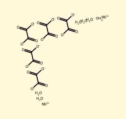 O.O.O.O.O.O.O=C([O-])C(=O)[O-].O=C([O-])C(=O)[O-].O=C([O-])C(=O)[O-].O=C([O-])C(=O)[O-].O=C([O-])C(=O)[O-].[Nb+5].[Nb+5]